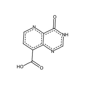 O=C(O)c1ccnc2c(=O)[nH]cnc12